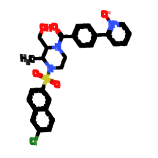 CC1C(CO)N(C(=O)c2ccc(-c3cccc[n+]3[O-])cc2)CCN1S(=O)(=O)c1ccc2cc(Cl)ccc2c1